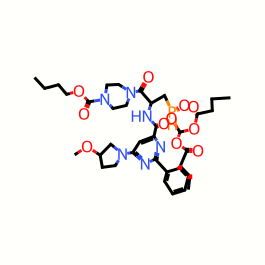 CCCCOC(=O)N1CCN(C(=O)C(C[PH](=O)OC(OC(=O)CCC)OC(=O)CCC)NC(=O)c2cc(N3CCC(OC)C3)nc(-c3ccccc3)n2)CC1